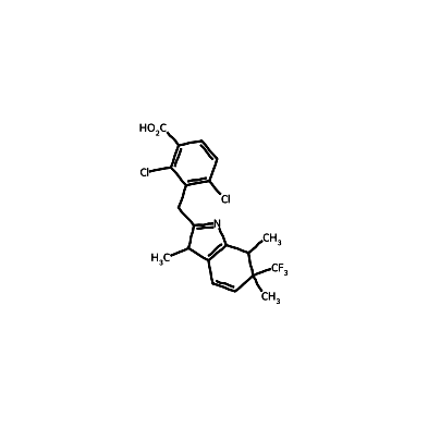 CC1C(Cc2c(Cl)ccc(C(=O)O)c2Cl)=NC2=C1C=CC(C)(C(F)(F)F)C2C